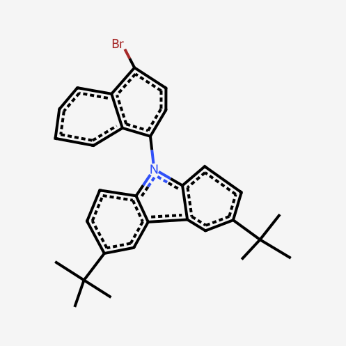 CC(C)(C)c1ccc2c(c1)c1cc(C(C)(C)C)ccc1n2-c1ccc(Br)c2ccccc12